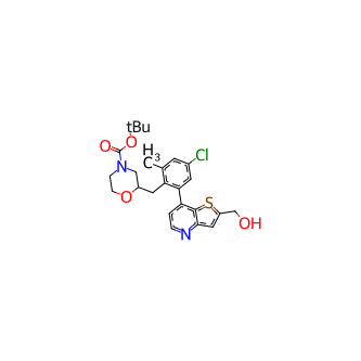 Cc1cc(Cl)cc(-c2ccnc3cc(CO)sc23)c1CC1CN(C(=O)OC(C)(C)C)CCO1